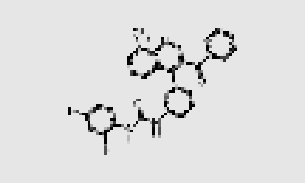 O=C(Nc1cccc(-c2c(C(=O)c3ccccc3)cnc3c(C(F)(F)F)cccc23)c1)Nc1ccc(F)cc1F